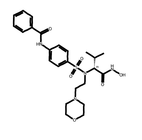 CC(C)[C@H](C(=O)NO)N(CCN1CCOCC1)S(=O)(=O)c1ccc(NC(=O)c2ccccc2)cc1